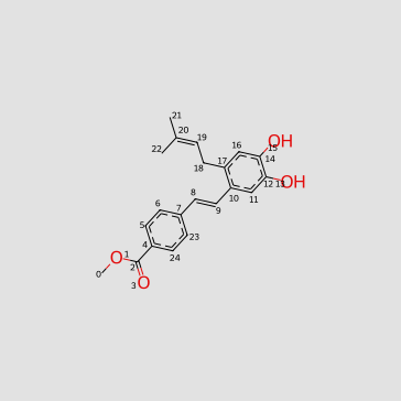 COC(=O)c1ccc(C=Cc2cc(O)c(O)cc2CC=C(C)C)cc1